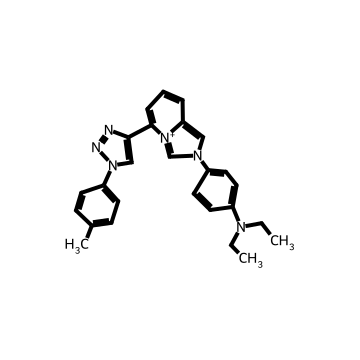 CCN(CC)c1ccc(-n2cc3cccc(-c4cn(-c5ccc(C)cc5)nn4)[n+]3c2)cc1